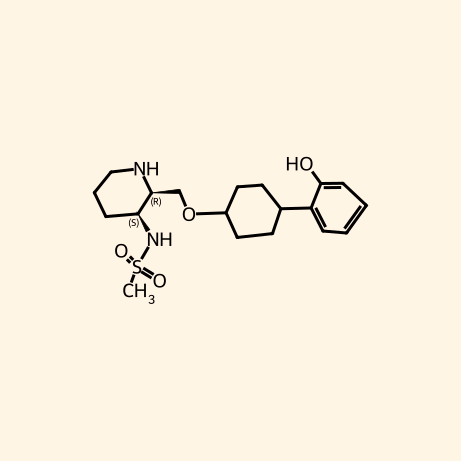 CS(=O)(=O)N[C@H]1CCCN[C@H]1COC1CCC(c2ccccc2O)CC1